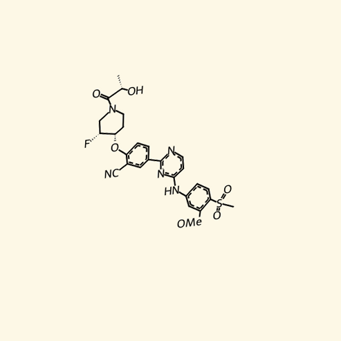 COc1cc(Nc2ccnc(-c3ccc(O[C@H]4CCN(C(=O)[C@H](C)O)C[C@H]4F)c(C#N)c3)n2)ccc1S(C)(=O)=O